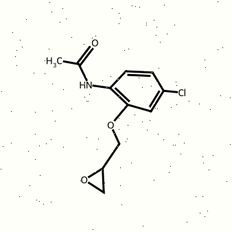 CC(=O)Nc1ccc(Cl)cc1OCC1CO1